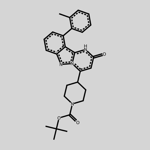 Cc1ccccc1-c1cccc2nn3c(C4CCN(C(=O)OC(C)(C)C)CC4)cc(=O)[nH]c3c12